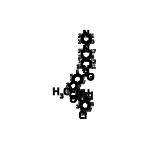 CC1(C)Cc2ccc(C(=O)N3CCC4(CC3)CCN(c3ccncc3)CC4)cc2C1NC(=O)c1cc(Cl)ccc1Cl